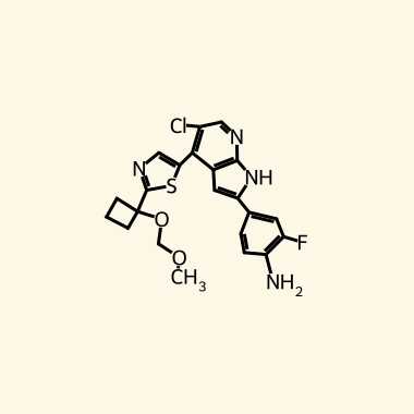 COCOC1(c2ncc(-c3c(Cl)cnc4[nH]c(-c5ccc(N)c(F)c5)cc34)s2)CCC1